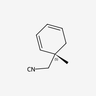 [C-]#[N+]C[C@]1(C)C=CC=CC1